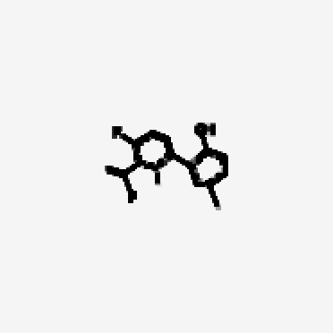 C=C(F)c1c(F)ccc(-c2cc(C)ccc2O)c1C